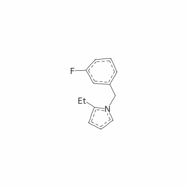 CCc1cccn1Cc1cccc(F)c1